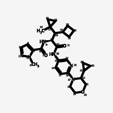 Cn1nccc1C(=O)N[C@H](C(=O)Nc1ccc(N2CCOCC2C2CC2)nc1)C(C1CCC1)C1(C)CC1